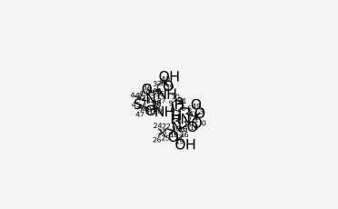 COC(=O)[C@H](Cc1ccccc1)NC(=O)[C@H](CC(=O)O)NCCC(C)(C)C.C[C@H](C(N)=O)N(C(=O)[C@@H](N)CC(=O)O)C1C(C)(C)SC1(C)C.O